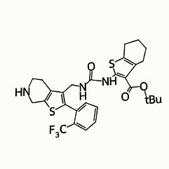 CC(C)(C)OC(=O)c1c(NC(=O)NCc2c(-c3ccccc3C(F)(F)F)sc3c2CCNC3)sc2c1CCCC2